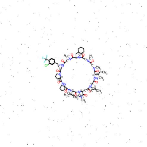 CC[C@H](C)[C@@H]1NC(=O)[C@H](CC(C)C)N(C)C(=O)C[C@@H](C(=O)N(C)C)N(C)C(=O)[C@H](C(C)C)N(C)C(=O)C2(CCCC2)NC(=O)[C@@H]2CCCN2C(=O)[C@H](CCc2ccc(C(F)(F)F)c(Cl)c2)NC(=O)CN(C)C(=O)[C@H](CC2CCCCC2)N(C)C(=O)CN(C)C(=O)CN(C)C1=O